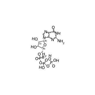 BP(=O)(OC[C@H]1O[C@@H](n2cnc3c(=O)[nH]c(N)nc32)[C@@H](O)C1O)OP(=O)(O)OP(=O)(O)O